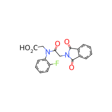 O=C(O)CN(C(=O)CN1C(=O)c2ccccc2C1=O)c1ccccc1F